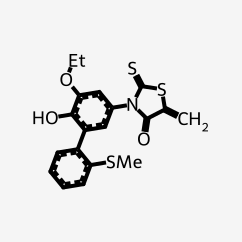 C=C1SC(=S)N(c2cc(OCC)c(O)c(-c3ccccc3SC)c2)C1=O